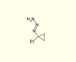 CCC1(N=NN)CC1